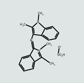 CC1=[N+](C)C(=Nc2c(C)n(C)c3ccccc23)c2ccccc21.O=S(=O)([O-])O